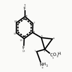 NCC1(C(=O)O)CC1c1cc(F)ccc1F